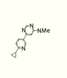 CNc1cc(-c2ccc(C3CC3)nc2)ncn1